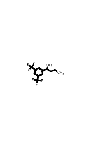 C[CH]CC(O)c1cc(C(F)(F)F)cc(C(F)(F)F)c1